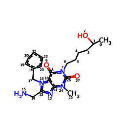 CC(O)CCCCn1c(=O)c2c(nc(CN)n2Cc2ccccc2)n(C)c1=O